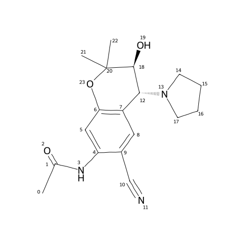 CC(=O)Nc1cc2c(cc1C#N)[C@@H](N1CCCC1)[C@H](O)C(C)(C)O2